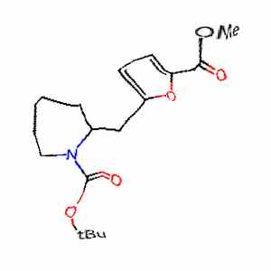 COC(=O)c1ccc(CC2CCCCN2C(=O)OC(C)(C)C)o1